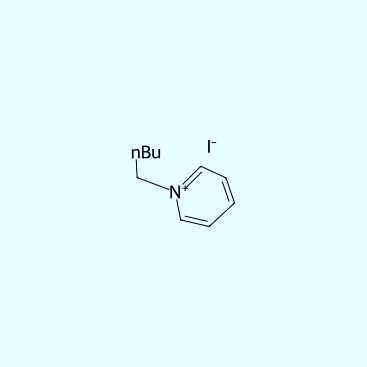 CCCCC[n+]1ccccc1.[I-]